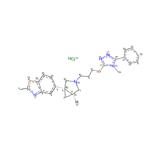 Cc1nc2cc([C@@]34C[C@@H]3CN(CCCSc3nnc(-c5ccccc5)n3C)C4)ccc2s1.Cl